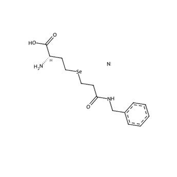 N[C@@H](CC[Se]CCC(=O)NCc1ccccc1)C(=O)O.[N]